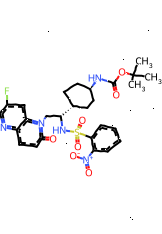 CC(C)(C)OC(=O)N[C@H]1CC[C@H](C(Cn2c(=O)ccc3ncc(F)cc32)NS(=O)(=O)c2ccccc2[N+](=O)[O-])CC1